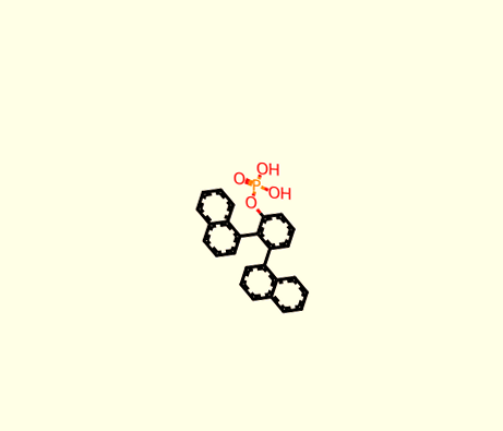 O=P(O)(O)Oc1cccc(-c2cccc3ccccc23)c1-c1cccc2ccccc12